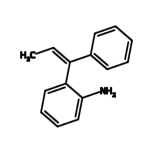 CC=C(c1ccccc1)c1ccccc1N